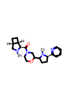 CCN1C(C2CN(C(=O)[C@@H]3[C@H]4CC[C@H]4CN3C(C)C)CCO2)CC[C@@H]1c1ccccn1